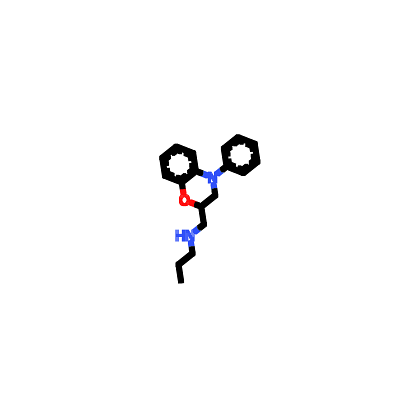 CCCNCC1CN(c2ccccc2)c2ccccc2O1